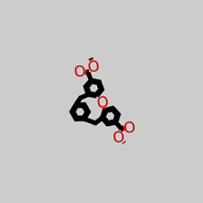 COC(=O)c1ccc2c(c1)Cc1ccc(cc1)Cc1cc(C(=O)OC)ccc1O2